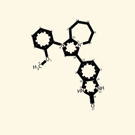 COc1ccccc1-n1cc(-c2ccc3[nH]c(=O)[nH]c3c2)[n+]2c1CCCCC2